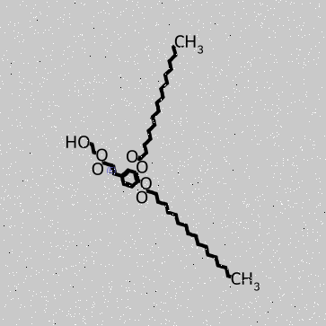 CCCCCCCCCCCCCCCCCC(=O)Oc1ccc(/C=C/C(=O)OCCO)cc1OC(=O)CCCCCCCCCCCCCCCCC